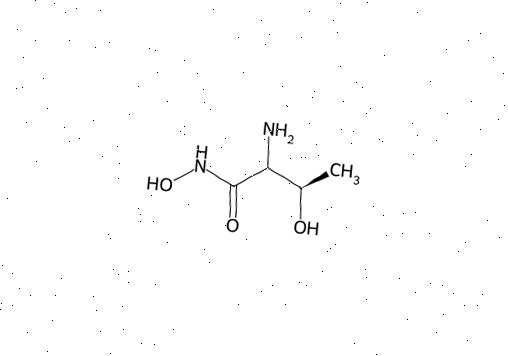 C[C@@H](O)C(N)C(=O)NO